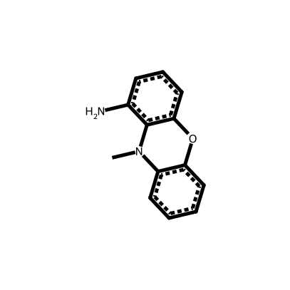 CN1c2ccccc2Oc2cccc(N)c21